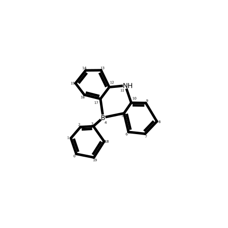 c1ccc(B2c3ccccc3Nc3ccccc32)cc1